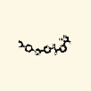 C=CC(=O)N1CCC(n2cc(-c3ccc(NC(=O)c4cccc(-c5[nH]ncc5Cl)n4)nc3)nn2)CC1